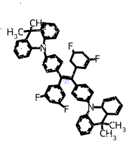 CC1(C)c2ccccc2N(c2ccc(/C(=C(/c3ccc(N4c5ccccc5C(C)(C)C5C=CC=CC54)cc3)C3C=C(F)CC(F)C3)c3cc(F)cc(F)c3)cc2)c2ccccc21